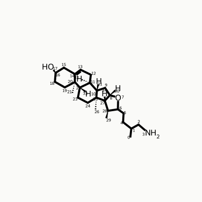 CC(CN)CCC1O[C@H]2C[C@H]3[C@@H]4CC=C5C[C@H](O)CC[C@]5(C)[C@H]4CC[C@]3(C)[C@H]2[C@@H]1C